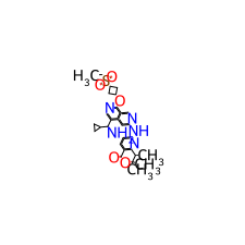 CCS(=O)(=O)C1CC(Oc2ncc([C@H](N)C3CC3)c3cc(Nc4ccc5c(n4)[C@@H](C)C(C)(C)OC5=O)ncc23)C1